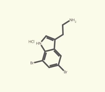 Cl.NCCc1c[nH]c2c(Br)cc(Br)cc12